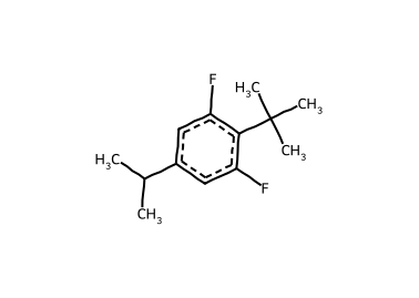 CC(C)c1cc(F)c(C(C)(C)C)c(F)c1